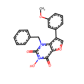 COc1cccc(-c2coc3c(=O)n(O)c(=O)n(Cc4ccccc4)c23)c1